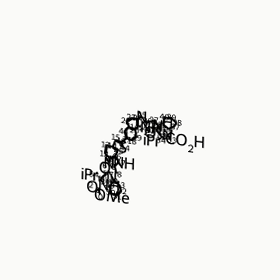 COC(=O)N[C@H](C(=O)N(Cc1nc2ccc3cc(-c4ccc5c(ccc6nc(CN(C(=O)[C@@H](NC(=O)O)C(C)C)C7CCCCC7)[nH]c65)c4)sc3c2[nH]1)C1CCCCC1)C(C)C